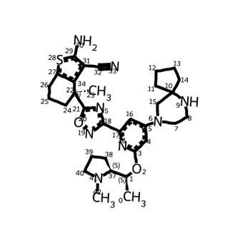 C[C@H](Oc1cc(N2CCNC3(CCCC3)C2)cc(-c2noc([C@@]3(C)CCCc4sc(N)c(C#N)c43)n2)n1)[C@@H]1CCCN1C